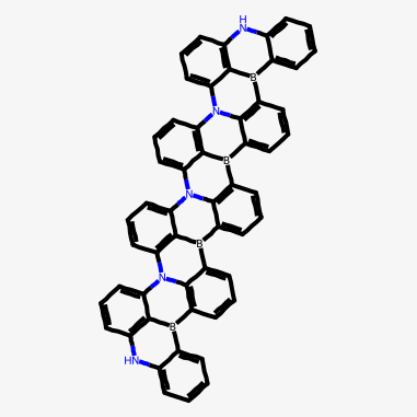 c1ccc2c(c1)Nc1cccc3c1B2c1cccc2c1N3c1cccc3c1B2c1cccc2c1N3c1cccc3c1B2c1cccc2c1N3c1cccc3c1B2c1ccccc1N3